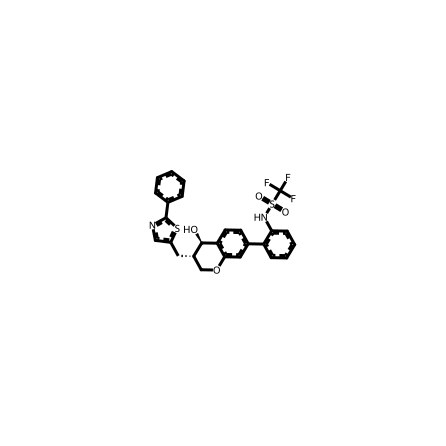 O=S(=O)(Nc1ccccc1-c1ccc2c(c1)OC[C@H](Cc1cnc(-c3ccccc3)s1)[C@H]2O)C(F)(F)F